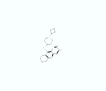 Oc1cc2nc3c(c(NC4CCN(C5CCC5)CC4)c2nc1O)CCCC3